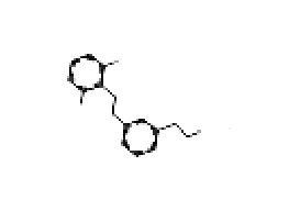 Cc1cccc(C)c1CCc1cccc(CCC=O)c1